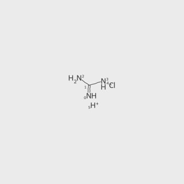 N=C(N)NCl.[H+]